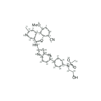 COc1ccc(C#N)cc1-c1cc(C)ncc1C(=O)Nc1nc2ccc(-c3ccc(N(CCO)S(C)(=O)=O)cc3)nc2s1